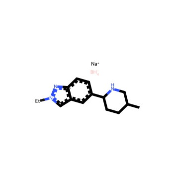 CCn1cc2cc(C3CCC(C)CN3)ccc2n1.[BH4-].[Na+]